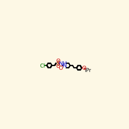 CC(C)Oc1ccc(CCC2CCN(C(=O)NS(=O)(=O)C=Cc3ccc(Cl)cc3)CC2)cc1